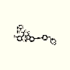 O=C(Nc1nccs1)[C@@H](c1cc(F)ccc1O)N1Cc2ccc(C#Cc3ccc(CN4CCOCC4)cc3)cc2C1=O